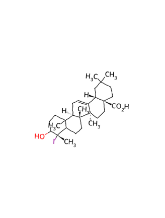 CC1(C)CC[C@]2(C(=O)O)CC[C@]3(C)C(=CC[C@@H]4C5(C)CCC(O)[C@@](C)(I)C5CC[C@]43C)[C@@H]2C1